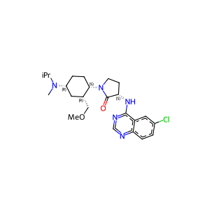 COC[C@@H]1C[C@H](N(C)C(C)C)CC[C@@H]1N1CC[C@H](Nc2ncnc3ccc(Cl)cc23)C1=O